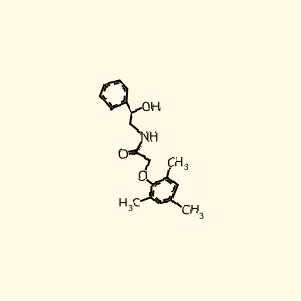 Cc1cc(C)c(OCC(=O)NCC(O)c2ccccc2)c(C)c1